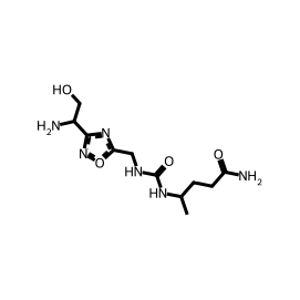 CC(CCC(N)=O)NC(=O)NCc1nc(C(N)CO)no1